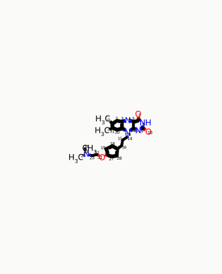 Cc1cc2nc3c(=O)[nH]c(=O)nc-3n(CCCc3ccc(OCCN(C)C)cc3)c2cc1C